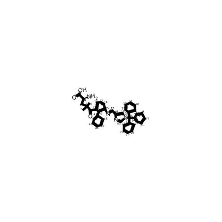 CC(C)(C[C@H](N)C(=O)O)C(=O)c1cccc(N=Cc2cn(C(c3ccccc3)(c3ccccc3)c3ccccc3)cn2)c1-c1ccccc1